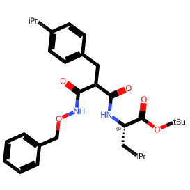 CC(C)C[C@H](NC(=O)C(Cc1ccc(C(C)C)cc1)C(=O)NOCc1ccccc1)C(=O)OC(C)(C)C